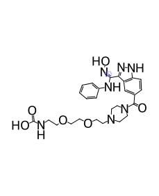 O=C(O)NCCOCCOCCN1CCN(C(=O)c2ccc3[nH]nc(/C(=N\O)Nc4ccccc4)c3c2)CC1